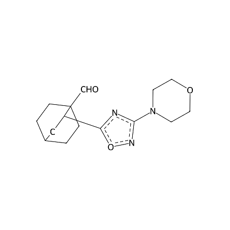 O=CC12CCC(CC1)CC2c1nc(N2CCOCC2)no1